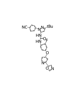 CC(C)(C)c1cc(NC(=O)Nc2ccc(Oc3ccnc(-c4cnco4)c3)cc2F)n(-c2ccc(C#N)cc2)n1